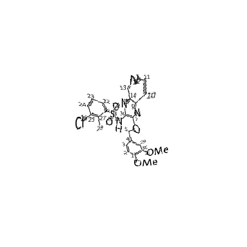 COc1ccc(COc2nc3ccncc3nc2NS(=O)(=O)c2cccc(Cl)c2C)cc1OC